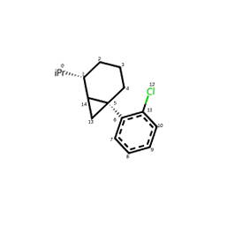 CC(C)[C@@H]1CCC[C@@]2(c3ccccc3Cl)CC12